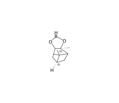 CC1(C)C2C[C@H]1CC1OBO[C@]12C